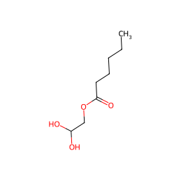 CCCCCC(=O)OCC(O)O